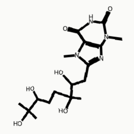 Cn1c(CC(O)C(C)(O)CCC(O)C(C)(C)O)nc2c1c(=O)[nH]c(=O)n2C